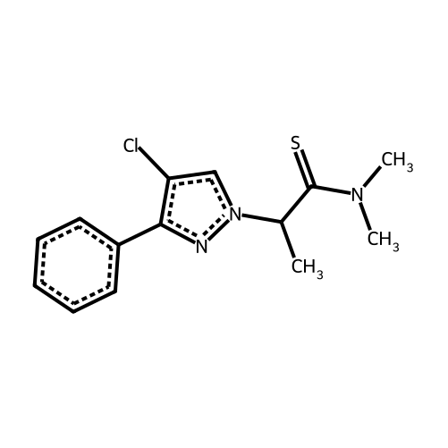 CC(C(=S)N(C)C)n1cc(Cl)c(-c2ccccc2)n1